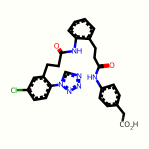 O=C(O)Cc1ccc(NC(=O)CCc2ccccc2NC(=O)CCc2cc(Cl)ccc2-n2cnnn2)cc1